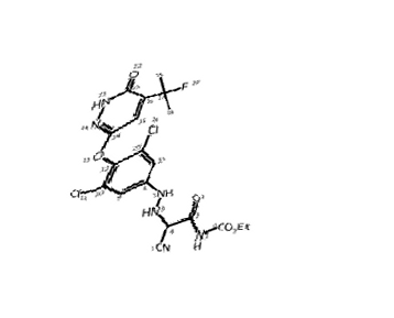 CCOC(=O)NC(=O)C(C#N)NNc1cc(Cl)c(Oc2cc(C(C)(C)F)c(=O)[nH]n2)c(Cl)c1